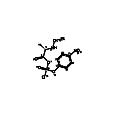 CCON[C@@H](C)C(=O)OP(=O)(Cl)Oc1ccc([N+](=O)[O-])cc1